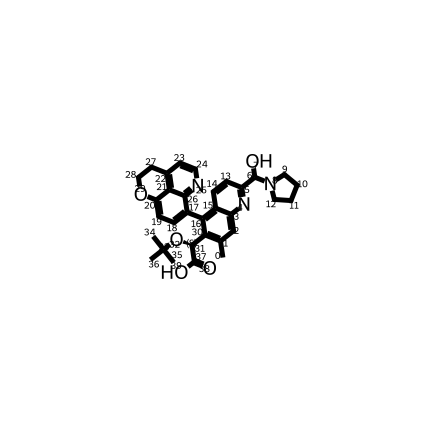 Cc1cc2nc(C(O)N3CCCC3)ccc2c(-c2ccc3c4c(ccnc24)CCO3)c1[C@H](OC(C)(C)C)C(=O)O